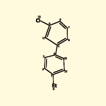 CCc1ccc(-c2cccc(Cl)c2)cc1